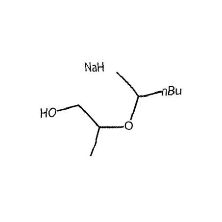 CCCCC(C)OC(C)CO.[NaH]